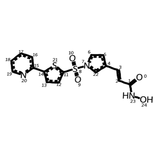 O=C(C=Cc1ccn(S(=O)(=O)c2ccc(-c3ccccn3)s2)c1)NO